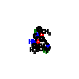 Cc1cccc(F)c1C(=O)N1CCCC(C(=O)Nc2cccc(C(C)(C)C)c2)[C@@H]1C1C=CC(CCCN2CCC(F)(F)C2)=CC1